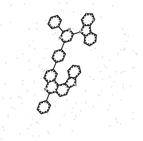 c1ccc(-c2nc(-c3ccc(-c4ccc5nc(-c6ccccc6)c6ccc7sc8ccccc8c7c6c5c4)cc3)cc(-n3c4ccccc4c4ccccc43)n2)cc1